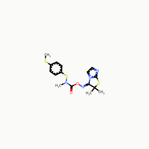 CSc1ccc(SN(C)C(=O)ON=C2n3ccnc3SC2(C)C)cc1